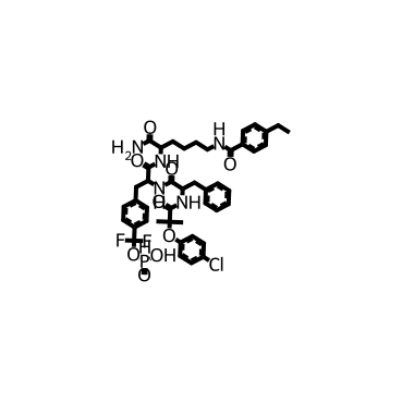 CCc1ccc(C(=O)NCCCCC(NC(=O)C(Cc2ccc(C(F)(F)O[PH](=O)O)cc2)NC(=O)C(Cc2ccccc2)NC(=O)C(C)(C)Oc2ccc(Cl)cc2)C(N)=O)cc1